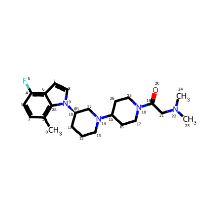 Cc1ccc(F)c2ccn([C@@H]3CCCN(C4CCN(C(=O)CN(C)C)CC4)C3)c12